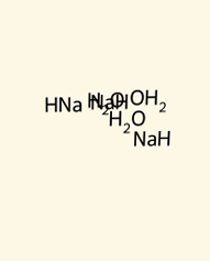 O.O.O.[NaH].[NaH].[NaH]